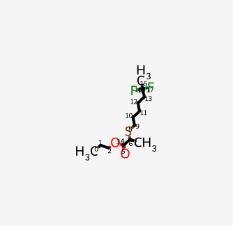 CCCOC(=O)C(C)SCCCCCC(C)(F)F